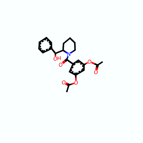 CC(=O)Oc1cc(OC(C)=O)cc(C(=O)N2CCCCC2C(O)c2ccccc2)c1